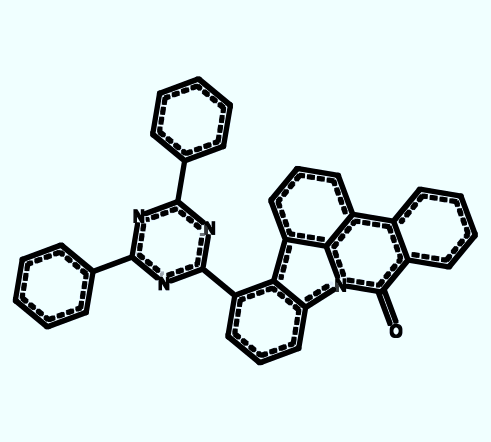 O=c1c2ccccc2c2cccc3c4c(-c5nc(-c6ccccc6)nc(-c6ccccc6)n5)cccc4n1c23